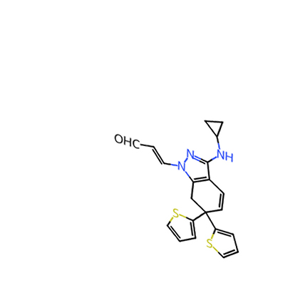 O=CC=Cn1nc(NC2CC2)c2c1CC(c1cccs1)(c1cccs1)C=C2